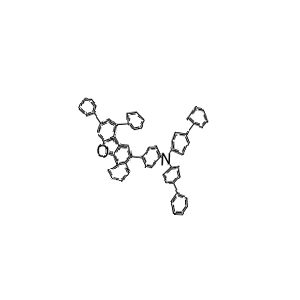 c1ccc(-c2ccc(N(c3ccc(-c4ccccc4)cc3)c3ccc(-c4cc5c(oc6cc(-c7ccccc7)cc(-c7ccccc7)c65)c5ccccc45)cc3)cc2)cc1